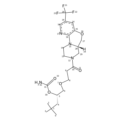 CC(C)(C)C[C@@H](COCCC(=O)N1CCN2c3ncc(C(F)(F)F)cc3OC[C@@H]2C1)OC(N)=O